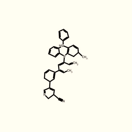 C=C/C(=C\C(=C/C)C1=CC(C2=CC(C#N)CN=C2)CC=C1)N1C2=C(C=CC(C)C2)[SiH](c2ccccc2)c2ccccc21